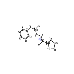 C/C(=C\CN(C)Cc1ccccc1)N1CCCC1